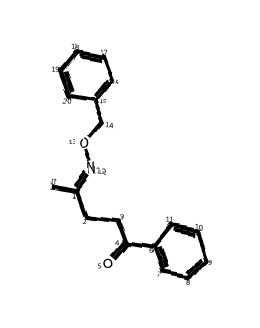 CC(CCC(=O)c1ccccc1)=NOCc1ccccc1